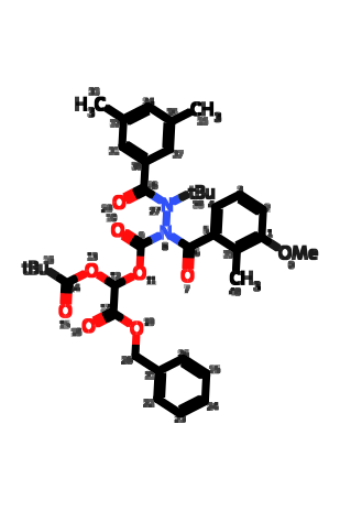 COc1cccc(C(=O)N(C(=O)OC(OC(=O)C(C)(C)C)C(=O)OCc2ccccc2)N(C(=O)c2cc(C)cc(C)c2)C(C)(C)C)c1C